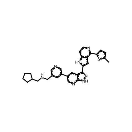 Cc1ccc(-c2nccc3[nH]c(-c4n[nH]c5ncc(-c6cncc(CNCC7CCCC7)c6)cc45)cc23)s1